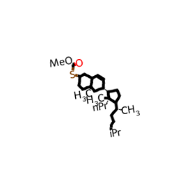 CCC[C@@]1(C)C([C@H](C)CCCC(C)C)CCC1[C@H]1C=CC2CC(SC(=O)OC)CC[C@@]2(C)C1